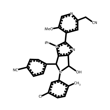 COc1cnc(CC#N)cc1-c1nc2c(n1C(C)C)C(c1ccc(C#N)cc1)N(c1cc(Cl)ccc1C)C2O